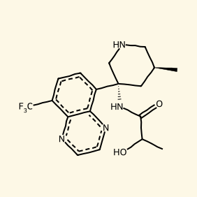 CC(O)C(=O)N[C@]1(c2ccc(C(F)(F)F)c3nccnc23)CNC[C@@H](C)C1